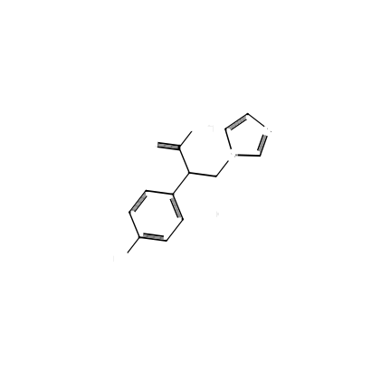 CCCCCCCC(=O)C(Cn1ccnc1)c1ccc(C)cc1.Cl